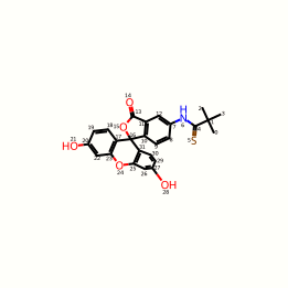 CC(C)(C)C(=S)Nc1ccc2c(c1)C(=O)OC21c2ccc(O)cc2Oc2cc(O)ccc21